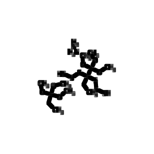 CCS(SSS)(SSS)[Si](OC)(OC)OC.CC[Si](OC)(OC)OC.N.N